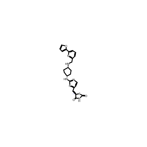 O=C1NC(=O)/C(=C/c2ccnc(N[C@H]3CC[C@H](NCc4cccc(-c5ccco5)n4)CC3)n2)S1